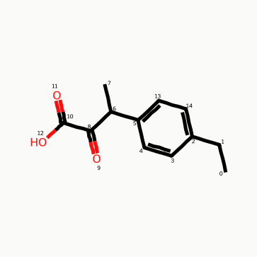 CCc1ccc(C(C)C(=O)C(=O)O)cc1